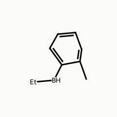 CCBc1ccccc1C